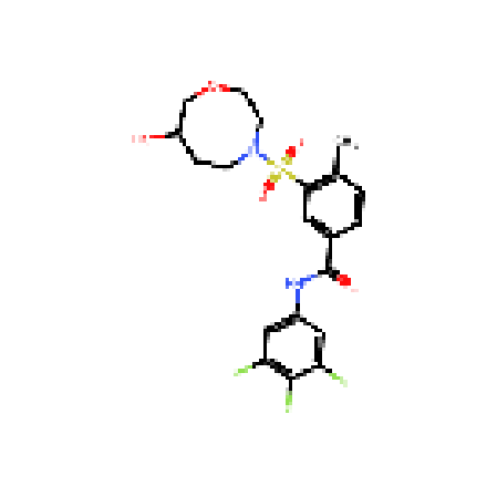 Cc1ccc(C(=O)Nc2cc(F)c(F)c(F)c2)cc1S(=O)(=O)N1CCOCC(O)CC1